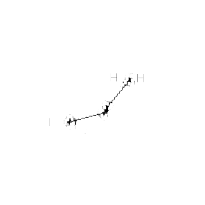 C=C(C)C(=O)OCCCCCCCCCCCCCCOC(=O)c1ccc(C(=O)OCCCCCCCCCCCCCCOC(=O)C(=C)C)s1